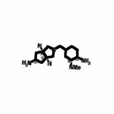 CN[C@@H]1CC(CN2C[C@H]3C[C@@H](N)C[C@H]3C2)CC[C@H]1N